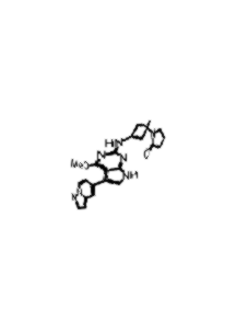 COc1nc(NC2CC(C)(N3CCCC3=O)C2)nc2[nH]cc(-c3ccn4nccc4c3)c12